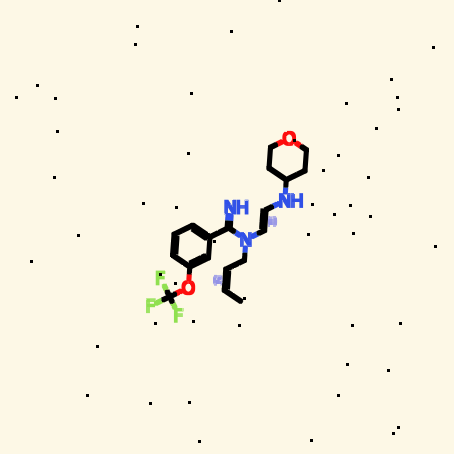 C/C=C\CN(/C=C/NC1CCOCC1)C(=N)c1cccc(OC(F)(F)F)c1